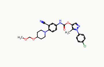 COCOC1CCN(c2ccc(NC(=O)Oc3cnn(-c4ccc(Cl)cc4)c3C)cc2C#N)CC1